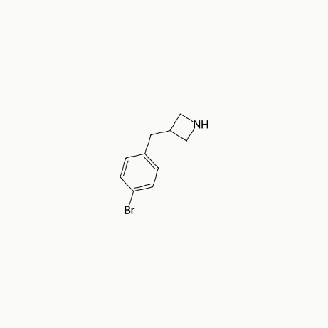 Brc1ccc(CC2CNC2)cc1